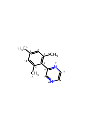 Cc1cc(C)c(-c2cnccn2)c(C)c1